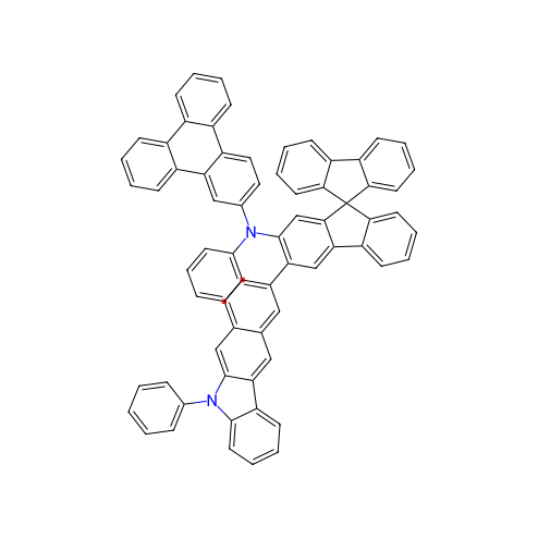 c1ccc(N(c2ccc3c4ccccc4c4ccccc4c3c2)c2cc3c(cc2-c2ccc4cc5c(cc4c2)c2ccccc2n5-c2ccccc2)-c2ccccc2C32c3ccccc3-c3ccccc32)cc1